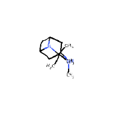 CNC1CC2CC(C1)N2C(C)(C)C